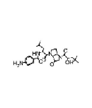 CC(C)CC(NC(=O)c1ccc(N)cc1)C(=O)N1CCC2C1C(=O)CN2C(=O)C(O)CC(C)(C)C